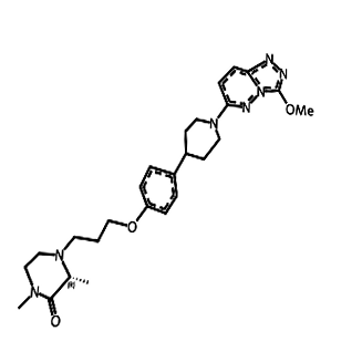 COc1nnc2ccc(N3CCC(c4ccc(OCCCN5CCN(C)C(=O)[C@H]5C)cc4)CC3)nn12